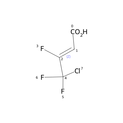 O=C(O)/C=C(\F)C(F)(F)Cl